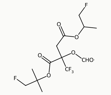 CC(CF)OC(=O)CC(O[C]=O)(C(=O)OC(C)(C)CF)C(F)(F)F